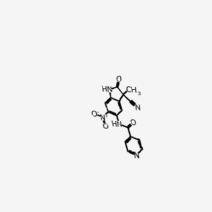 CC1(C#N)C(=O)Nc2cc([N+](=O)[O-])c(NC(=O)c3ccncc3)cc21